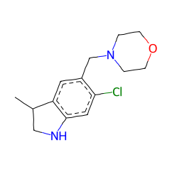 CC1CNc2cc(Cl)c(CN3CCOCC3)cc21